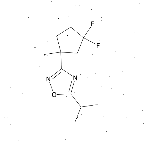 CC(C)c1nc(C2(C)CCC(F)(F)C2)no1